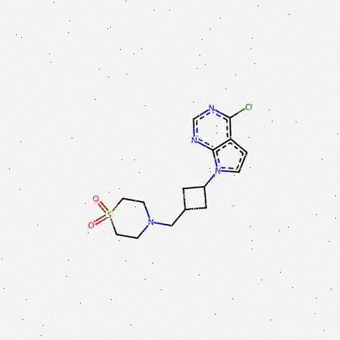 O=S1(=O)CCN(CC2CC(n3ccc4c(Cl)ncnc43)C2)CC1